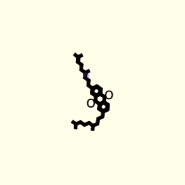 CC(C)=CCC/C(C)=C/CCc1ccc2c(c1)C(=O)c1cc(CCCC(C)CCCC(C)C)ccc1C2=O